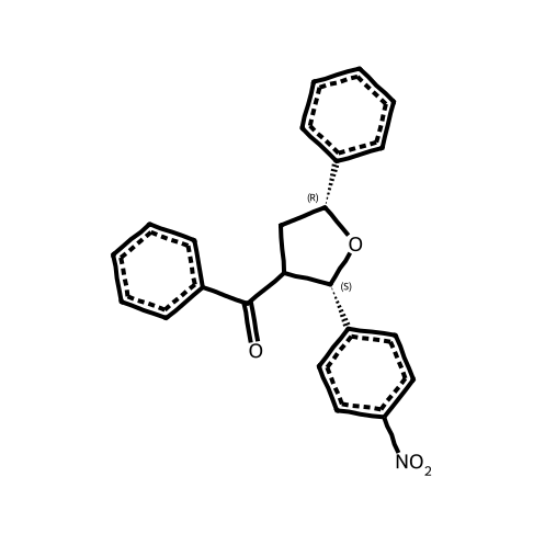 O=C(c1ccccc1)C1C[C@H](c2ccccc2)O[C@@H]1c1ccc([N+](=O)[O-])cc1